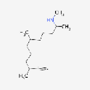 [C]#CC(C)CCCC(C)CCCC(C)NC